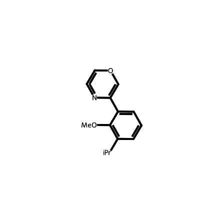 COc1c(C2=COC=C=N2)cccc1C(C)C